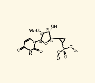 CCOP(=O)(OCC)C1CC1[C@H]1O[C@@H](n2ccc(=O)[nH]c2=O)[C@H](OC)[C@@H]1O